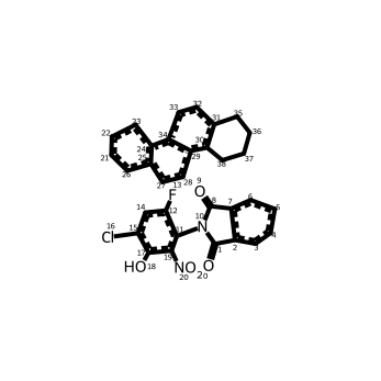 O=C1c2ccccc2C(=O)N1c1c(F)cc(Cl)c(O)c1[N+](=O)[O-].c1ccc2c(c1)ccc1c3c(ccc12)CCCC3